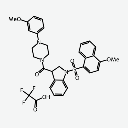 COc1cccc(N2CCN(C(=O)C3CN(S(=O)(=O)c4ccc(OC)c5ccccc45)c4ccccc43)CC2)c1.O=C(O)C(F)(F)F